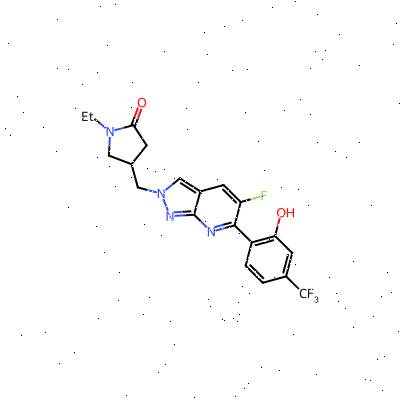 CCN1CC(Cn2cc3cc(F)c(-c4ccc(C(F)(F)F)cc4O)nc3n2)CC1=O